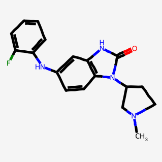 CN1CCC(n2c(=O)[nH]c3cc(Nc4ccccc4F)ccc32)C1